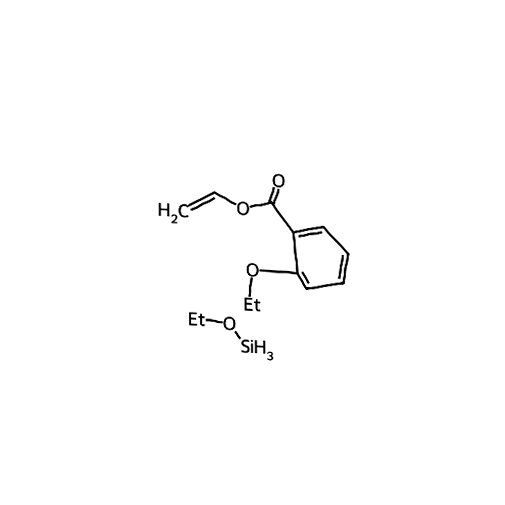 C=COC(=O)c1ccccc1OCC.CCO[SiH3]